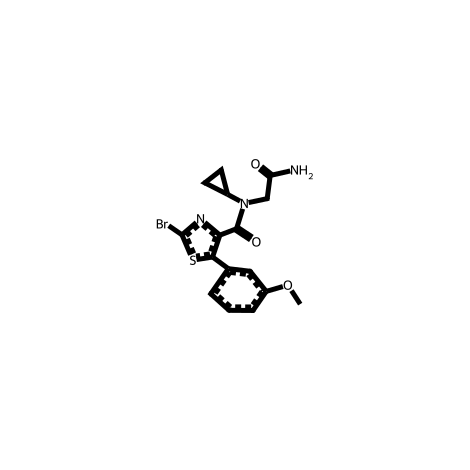 COc1cccc(-c2sc(Br)nc2C(=O)N(CC(N)=O)C2CC2)c1